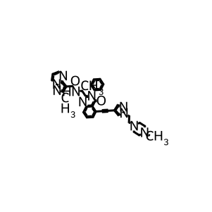 Cc1nn2cccnc2c1C(=O)N[C@H](C)c1nc2cccc(C#Cc3cnn(CCN4CCN(C)CC4)c3)c2c(=O)n1-c1ccccc1